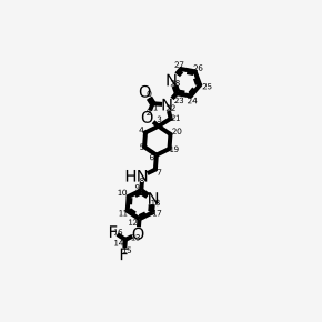 O=C1OC2(CCC(CNc3ccc(OC(F)F)cn3)CC2)CN1c1ccccn1